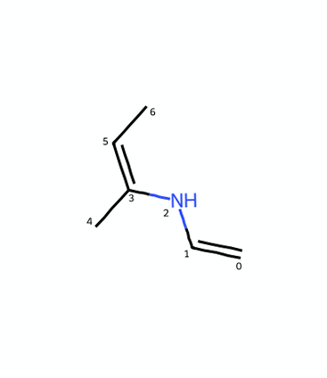 C=CN/C(C)=C\C